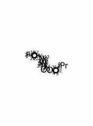 CC(C)c1cccc(OCC(=O)N2C[C@H](C)N(Cc3ccc(F)cc3)C[C@H]2C)c1